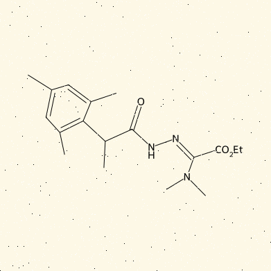 CCOC(=O)C(=NNC(=O)C(C)c1c(C)cc(C)cc1C)N(C)C